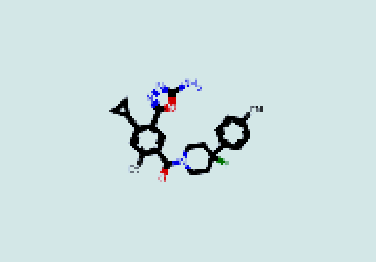 CCc1cc(C2CC2)c(-c2nnc(N)o2)cc1C(=O)N1CCC(F)(c2ccc(C#N)cc2)CC1